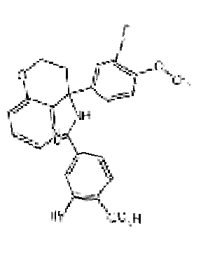 CC(C)c1cc(C(=O)NC2(c3ccc(OC(F)(F)F)c(F)c3)CCOc3cccnc32)ccc1C(=O)O